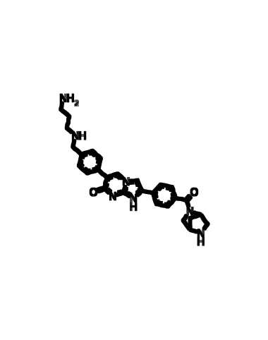 NCCCNCc1ccc(-c2cn3cc(-c4ccc(C(=O)N5CC6CC5CN6)cc4)[nH]c3nc2=O)cc1